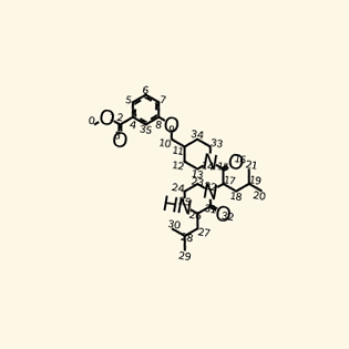 COC(=O)c1cccc(OCC2CCN(C(=O)C(CC(C)C)N3CCNC(CC(C)C)C3=O)CC2)c1